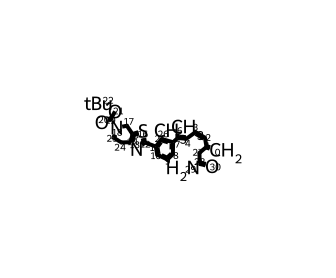 C=C(/C=C\C=C(/C)c1cccc(-c2nc3c(s2)CN(C(=O)OC(C)(C)C)CC3)c1C)CC(N)=O